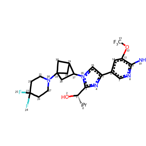 CC(C)[C@H](O)c1nc(-c2cnc(N)c(OC(F)(F)F)c2)cn1C1CC2(N3CCC(F)(F)CC3)CC1C2